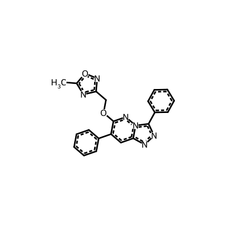 Cc1nc(COc2nn3c(-c4ccccc4)nnc3cc2-c2ccccc2)no1